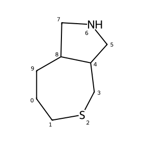 C1CSCC2CNCC2C1